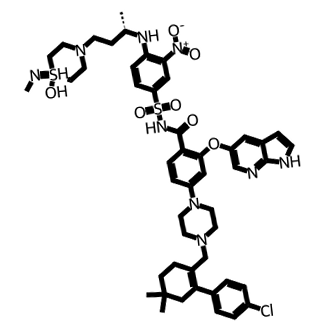 CN=[SH]1(O)CCN(CC[C@H](C)Nc2ccc(S(=O)(=O)NC(=O)c3ccc(N4CCN(CC5=C(c6ccc(Cl)cc6)CC(C)(C)CC5)CC4)cc3Oc3cnc4[nH]ccc4c3)cc2[N+](=O)[O-])CC1